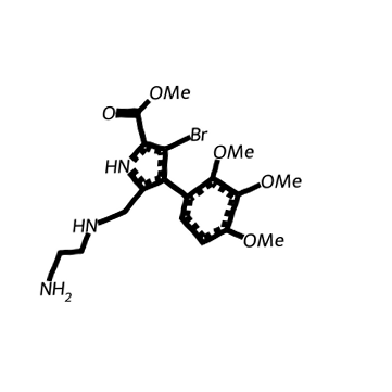 COC(=O)c1[nH]c(CNCCN)c(-c2ccc(OC)c(OC)c2OC)c1Br